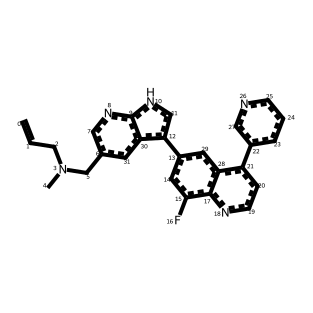 C=CCN(C)Cc1cnc2[nH]cc(-c3cc(F)c4nccc(-c5cccnc5)c4c3)c2c1